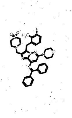 Cc1c(F)cccc1Cc1c(CN2CCS(=O)(=O)CC2)nc2c(N=C(c3ccccc3)c3ccccc3)cc(N3CCOCC3)nn12